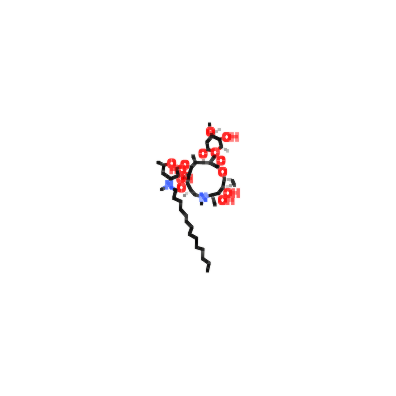 CCCCCCCCCCCCCC(=O)N(C)[C@H]1C[C@@H](C)O[C@@H](O[C@@H]2[C@@H](C)[C@H](O[C@H]3C[C@@](C)(OC)[C@@H](O)[C@H](C)O3)[C@@H](C)C(=O)O[C@H](CC)[C@@](C)(O)[C@H](O)[C@@H](C)N(C)C[C@H](C)C[C@@]2(C)O)[C@@H]1O